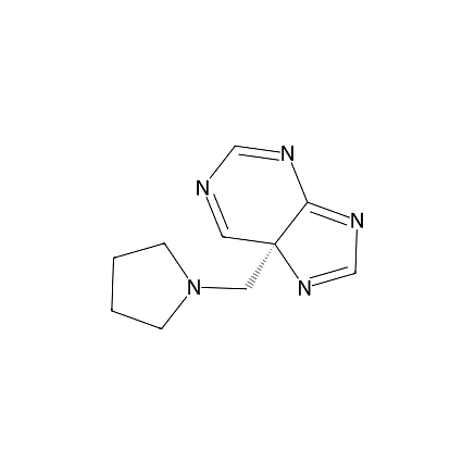 C1=NC=NC2=NC=N[C@@]12CN1CCCC1